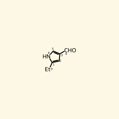 CCc1cc(C=O)c[nH]1